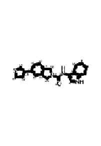 O=C(Nc1c[nH]c2ccccc12)N1Cc2ccc(-c3ccsc3)cc2C1